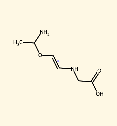 CC(N)O/C=C/NCC(=O)O